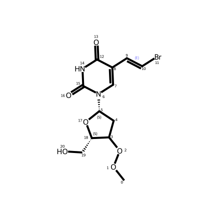 COOC1C[C@@H](n2cc(/C=C/Br)c(=O)[nH]c2=O)O[C@H]1CO